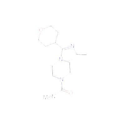 CNC(=O)N1CCn2c(C3CCOCC3)nc(C)c2C1